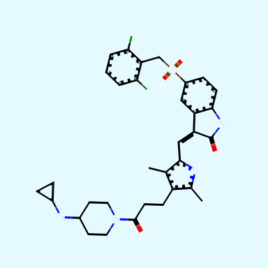 Cc1[nH]c(/C=C2\C(=O)Nc3ccc(S(=O)(=O)Cc4c(Cl)cccc4Cl)cc32)c(C)c1CCC(=O)N1CCC(NC2CC2)CC1